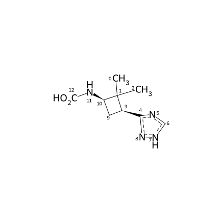 CC1(C)[C@@H](c2nc[nH]n2)C[C@H]1NC(=O)O